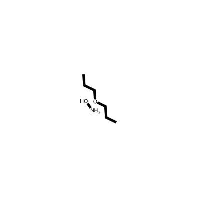 CCCOCCC.NO